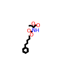 CC1OC(=O)C1NC(=O)OCCCCCc1ccccc1